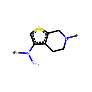 CCCN(N)c1csc2c1CCN(CC)C2